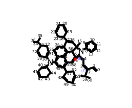 C=C/C(=C\C=C(/C)N(c1ccccc1)C1(C)C=C(C2C=CC=CC2)c2ccc3c(N(C4=CCC(C(C)C)C=C4)C4=CC=CCC4)cc(C4C=CC=CC4)c4c3c2C1C=C4)C(C)C